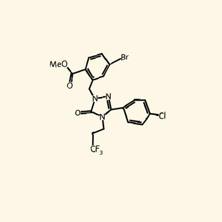 COC(=O)c1ccc(Br)cc1Cn1nc(-c2ccc(Cl)cc2)n(CCC(F)(F)F)c1=O